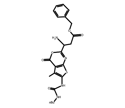 CCCCNC(=O)Nc1sc2nc(C(N)CC(=O)OCc3ccccc3)oc(=O)c2c1C